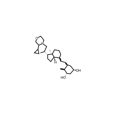 C=C1C(=CC=C2CCC[C@]3(C)[C@@H](C(C)CN4CCOCC4C4CC4)CC[C@@H]23)C[C@@H](O)C[C@@H]1O